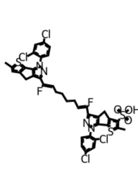 Cc1cc2c(s1)-c1c(c(/C(F)=C/CCCC/C=C(\F)c3nn(-c4ccc(Cl)cc4Cl)c4c3Cc3c-4sc(C)c3S(=O)(=O)O)nn1-c1ccc(Cl)cc1Cl)C2